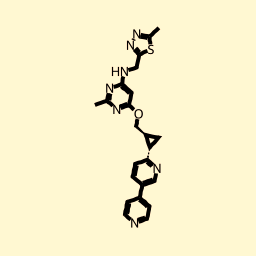 Cc1nc(NCc2nnc(C)s2)cc(OC[C@H]2C[C@@H]2c2ccc(-c3ccncc3)cn2)n1